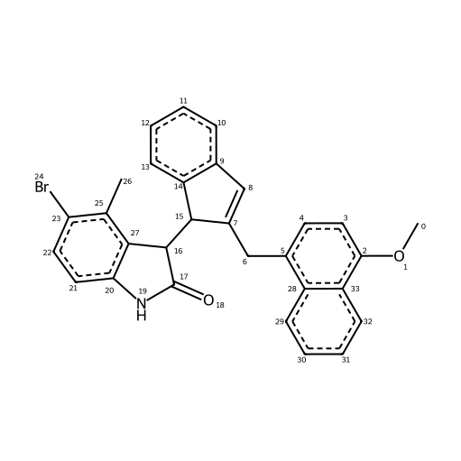 COc1ccc(CC2=Cc3ccccc3C2C2C(=O)Nc3ccc(Br)c(C)c32)c2ccccc12